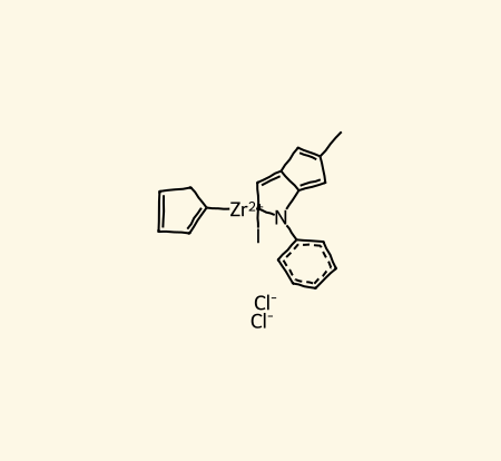 CC1=CC2=C[C](I)([Zr+2][C]3=CC=CC3)N(c3ccccc3)C2=C1.[Cl-].[Cl-]